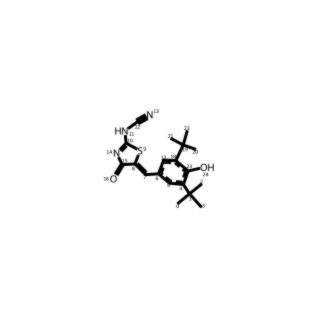 CC(C)(C)c1cc(/C=C2\SC(NC#N)=NC2=O)cc(C(C)(C)C)c1O